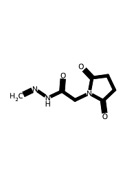 C=NNC(=O)CN1C(=O)CCC1=O